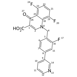 O=C(O)c1cn(Cc2ccc(-c3cccnc3)cc2F)c2c(F)ccc(F)c2c1=O